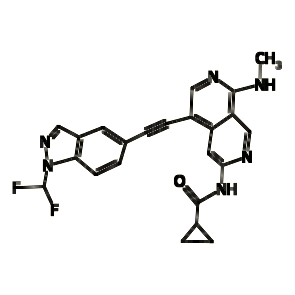 CNc1ncc(C#Cc2ccc3c(cnn3C(F)F)c2)c2cc(NC(=O)C3CC3)ncc12